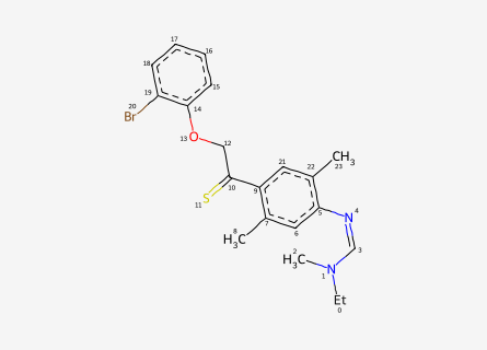 CCN(C)/C=N\c1cc(C)c(C(=S)COc2ccccc2Br)cc1C